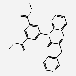 COC(=O)c1cc(C(=O)OC)cc(-n2c(=O)c(Cc3cccnc3)nc3cccnc32)c1